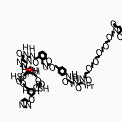 CC(C)[C@H](NC(=O)CCOCCOCCOCCOCCOCCN1C(=O)C=CC1=O)C(=O)N[C@@H](C)C(=O)Nc1ccc(COC(=O)N(C)Cc2ccccc2C(=O)Nc2nc3c(ncn3C3O[C@@H]4CO[P@@](=O)(S)O[C@H]5C[C@H](Oc6ccncn6)C[C@@H]5COP(=O)(S)O[C@@H]3[C@@H]4O)c(=O)[nH]2)cc1